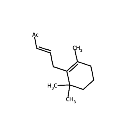 CC(=O)C=CCC1=C(C)CCCC1(C)C